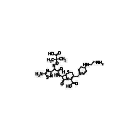 CC(C)(O/N=C(\C(=O)N[C@@H]1C(=O)N2C(C(=O)O)=C(C[n+]3ccc(NCCN)cc3)CS[C@H]12)c1nsc(N)n1)C(=O)O